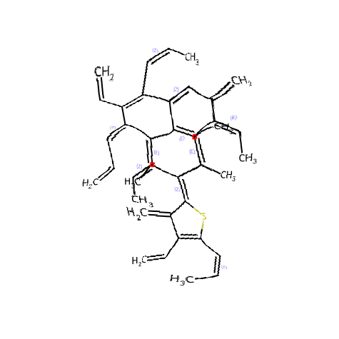 C=C/C=c1c(C=C)c(/C=C\C)c(=C/C(=C)C(=C/C)/C=C(C)/C(/C=C\C)=c2\sc(/C=C\C)c(C=C)c2=C)/c(=C\C)c/1=C/C